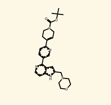 CC(C)(C)OC(=O)N1CC=C(c2ccc(-c3nccc4[nH]c(CN5CCOCC5)cc34)cn2)CC1